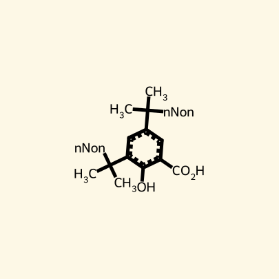 CCCCCCCCCC(C)(C)c1cc(C(=O)O)c(O)c(C(C)(C)CCCCCCCCC)c1